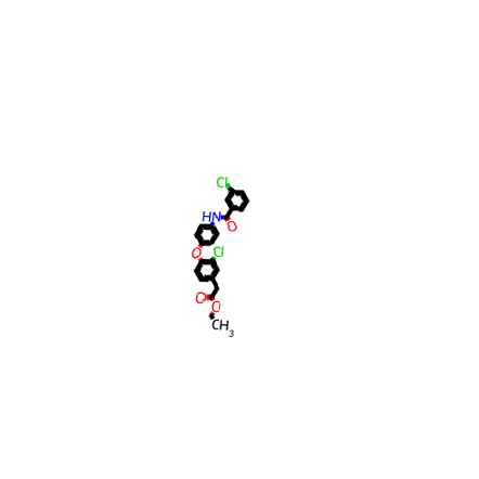 CCOC(=O)Cc1ccc(Oc2ccc(NC(=O)c3cccc(Cl)c3)cc2)c(Cl)c1